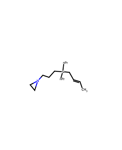 C/C=C/C[Si](CCC)(CCC)CCCN1CC1